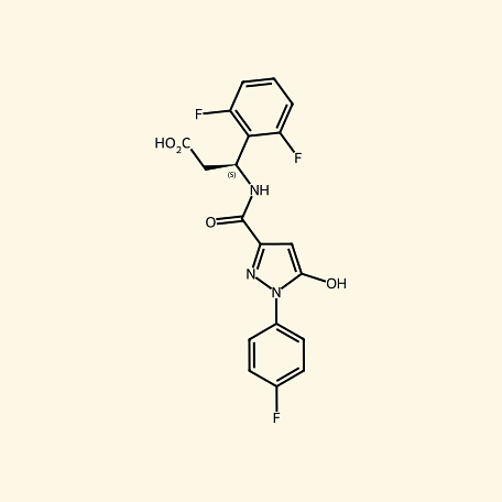 O=C(O)C[C@H](NC(=O)c1cc(O)n(-c2ccc(F)cc2)n1)c1c(F)cccc1F